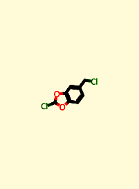 ClCc1ccc2c(c1)OC(Cl)O2